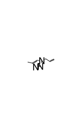 C=CCn1cc(C)nn1